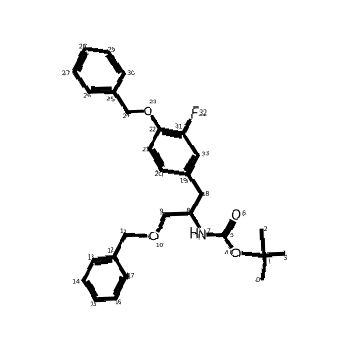 CC(C)(C)OC(=O)NC(COCc1ccccc1)Cc1ccc(OCc2ccccc2)c(F)c1